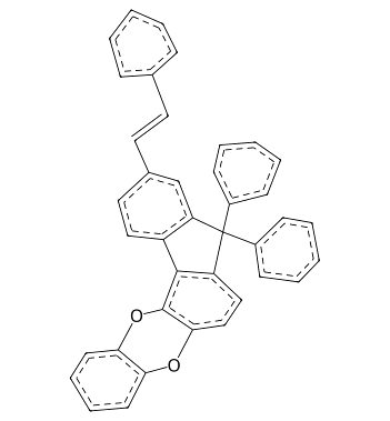 C(=C\c1ccc2c(c1)C(c1ccccc1)(c1ccccc1)c1ccc3c(c1-2)Oc1ccccc1O3)/c1ccccc1